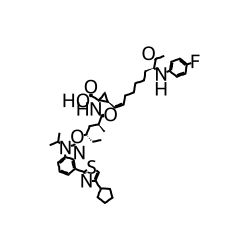 CC[C@@H](C[C@H](C)C(=O)N[C@]1(C(=O)O)C[C@H]1/C=C\CCCCC[C@H](Nc1ccc(F)cc1)C(C)=O)Oc1nc2c(-c3nc(C4CCCC4)cs3)cccc2n1C(C)C